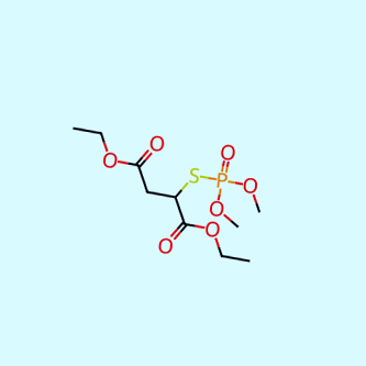 CCOC(=O)CC(SP(=O)(OC)OC)C(=O)OCC